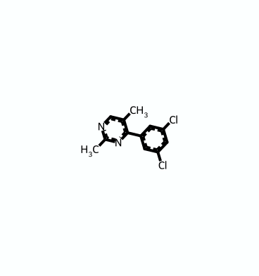 Cc1ncc(C)c(-c2cc(Cl)cc(Cl)c2)n1